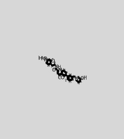 COC[C@H](Cc1ccc(O)cc1)NC(=O)c1cc(C(=O)O)c2cc(-c3cccc(C[n+]4cccc(O)c4)c3)ccc2n1